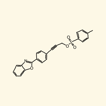 Cc1ccc(S(=O)(=O)OCC#Cc2ccc(-c3nc4ccccc4o3)cc2)cc1